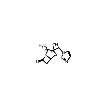 C[C@@H]1N2C(=O)CC2S[C@@]1(C)Cn1ccnn1